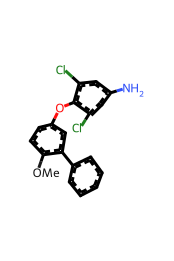 COc1ccc(Oc2c(Cl)cc(N)cc2Cl)cc1-c1ccccc1